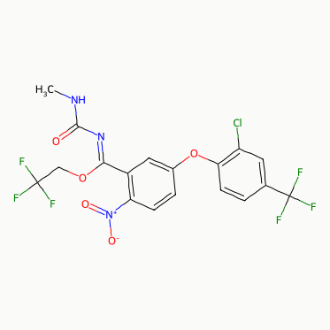 CNC(=O)N=C(OCC(F)(F)F)c1cc(Oc2ccc(C(F)(F)F)cc2Cl)ccc1[N+](=O)[O-]